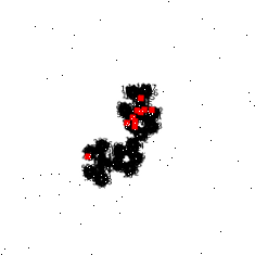 c1ccc2c(c1)c1cc(-c3ccc4c(c3)c3cccc5c6ccccc6c6ccc(-c7nc(-n8c9ccccc9c9ccccc98)nc(-n8c9ccccc9c9ccccc98)n7)cc6c6ccccc6n4c53)ccc1c1cccc3c4cccc(-c5nc(-n6c7ccccc7c7ccccc76)nc(-n6c7ccccc7c7ccccc76)n5)c4n(c4ccccc24)c13